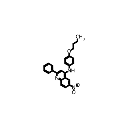 CCCCOc1ccc(Nc2cc(-c3ccccc3)nc3ccc([N+](=O)[O-])cc23)cc1